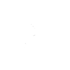 COC(=O)CCC/C=C\C[C@H]1CC[C@@H](OC2CCCCO2)[C@@H]1CCC(C)(C)[Si](C)(C)O